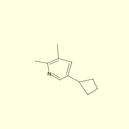 Cc1cc(C2CCC2)cnc1C